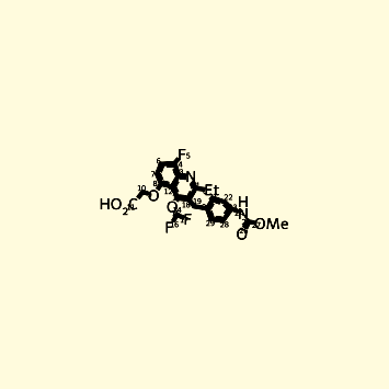 CCc1nc2c(F)ccc(OCC(=O)O)c2c(OC(F)F)c1Cc1ccc(NC(=O)OC)cc1